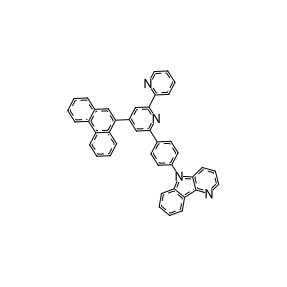 c1ccc(-c2cc(-c3cc4ccccc4c4ccccc34)cc(-c3ccc(-n4c5ccccc5c5ncccc54)cc3)n2)nc1